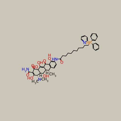 C[C@H]1c2ccc(NC(=O)CCCCCCCCCC[PH](c3ccccc3)(c3ccccc3)c3ccccn3)c(O)c2C(=O)C2=C(O)[C@]3(O)C(=O)C(C(N)=O)=C(O)[C@@H](N(C)C)[C@@H]3[C@@H](O)[C@@H]21